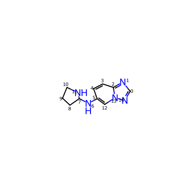 c1nc2ccc(NC3CCCN3)cn2n1